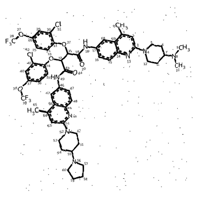 Cc1cc(N2CCC(N(C)C)CC2)nc2ccc(NC(=O)C(Oc3ccc(OC(F)(F)F)cc3Cl)C(Oc3ccc(OC(F)(F)F)cc3Cl)C(=O)Nc3ccc4nc(N5CCC(N6CCCC6)CC5)cc(C)c4c3)cc12